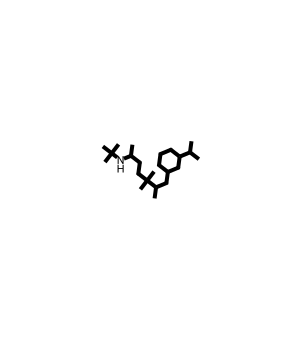 CC(CCC(C)(C)C(C)CC1CCCC(C(C)C)C1)NC(C)(C)C